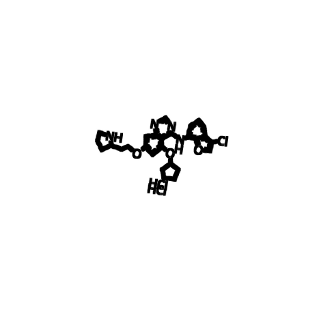 Cl.Cl.Clc1coc2c(Nc3ncnc4cc(OCCC5CCCN5)cc(OC5CCCC5)c34)cccc12